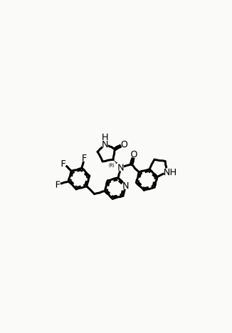 O=C1NCC[C@H]1N(C(=O)c1cccc2c1CCN2)c1cc(Cc2cc(F)c(F)c(F)c2)ccn1